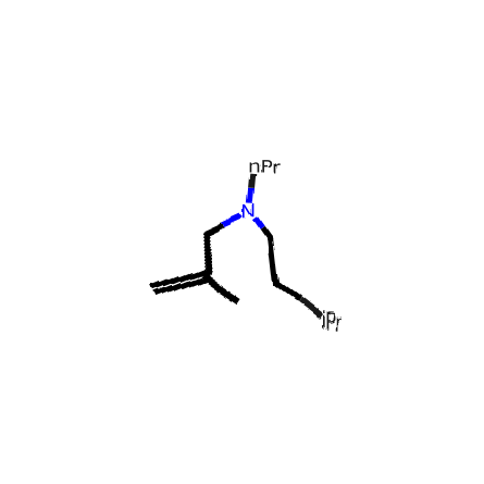 C=C(C)CN(CCC)CCC(C)C